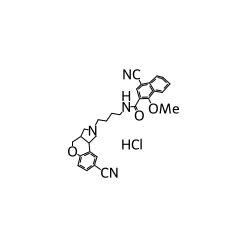 COc1c(C(=O)NCCCCN2CC3COc4ccc(C#N)cc4C3C2)cc(C#N)c2ccccc12.Cl